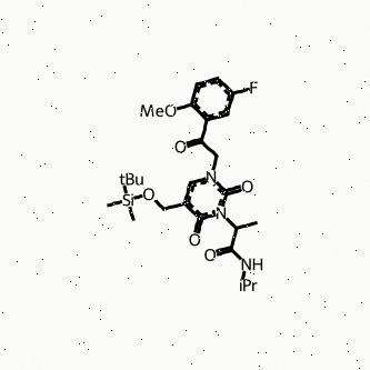 COc1ccc(F)cc1C(=O)Cn1cc(CO[Si](C)(C)C(C)(C)C)c(=O)n(C(C)C(=O)NC(C)C)c1=O